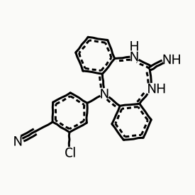 N#Cc1ccc(-n2c3ccccc3[nH]c(=N)[nH]c3ccccc32)cc1Cl